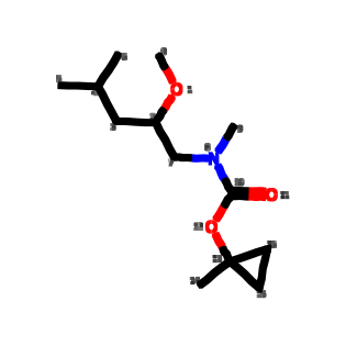 COC(CC(C)C)CN(C)C(=O)OC1(C)CC1